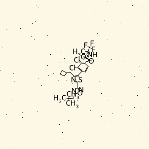 C[C@H](NS(=O)(=O)c1ccc(-c2sc(-c3noc(CC(C)(C)C)n3)nc2CC2CCC2)c(Cl)c1Cl)C(F)(F)F